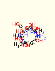 C[C@@H](O)[C@@H]1NC(=O)[C@H]([C@H](O)Cc2ccc(O)cc2)NC(=O)[C@@H]2C[C@@H](O)CN2C(=O)[C@H]([C@@H](C)O)NC(=O)C(N)C[C@@H](O)CCCCCC(=O)[C@@H]2[C@@H](O)[C@@H](C)CN2C1=O